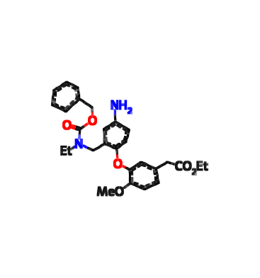 CCOC(=O)Cc1ccc(OC)c(Oc2ccc(N)cc2CN(CC)C(=O)OCc2ccccc2)c1